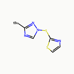 CC(C)(C)c1ncn(Sc2nccs2)n1